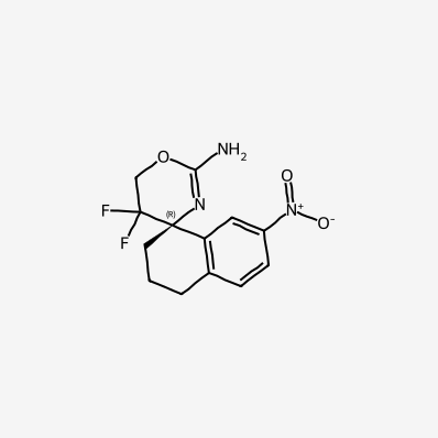 NC1=N[C@@]2(CCCc3ccc([N+](=O)[O-])cc32)C(F)(F)CO1